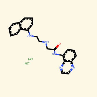 Cl.Cl.O=C(CNCCNc1cccc2ccccc12)Nc1cccc2nccnc12